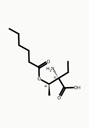 CCCCCC(=O)O[C@H](C)[C@@](N)(CC)C(=O)O